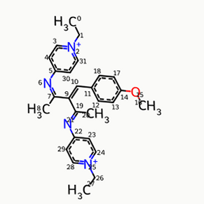 CC[n+]1ccc(N=C(C)C(=Cc2ccc(OC)cc2)C(C)=Nc2cc[n+](CC)cc2)cc1